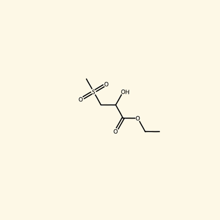 CCOC(=O)C(O)CS(C)(=O)=O